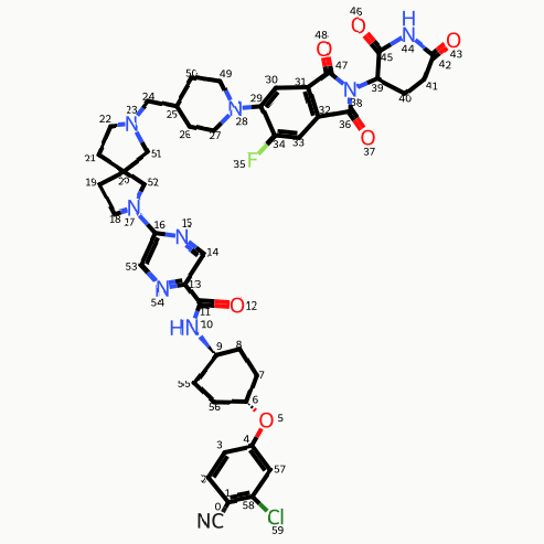 N#Cc1ccc(O[C@H]2CC[C@H](NC(=O)c3cnc(N4CCC5(CCN(CC6CCN(c7cc8c(cc7F)C(=O)N(C7CCC(=O)NC7=O)C8=O)CC6)C5)C4)cn3)CC2)cc1Cl